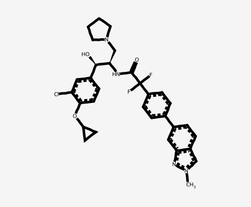 Cn1cc2ccc(-c3ccc(C(F)(F)C(=O)N[C@H](CN4CCCC4)[C@H](O)c4ccc(OC5CC5)c(Cl)c4)cc3)cc2n1